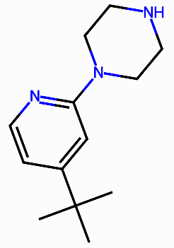 CC(C)(C)c1ccnc(N2CCNCC2)c1